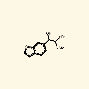 CCCC(NC)C(O)c1ccc2ccoc2c1